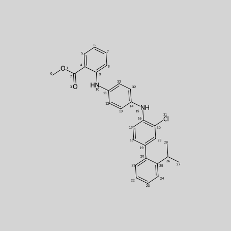 COC(=O)c1ccccc1Nc1ccc(Nc2ccc(-c3ccccc3C(C)C)cc2Cl)cc1